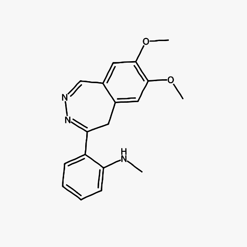 CNc1ccccc1C1=NN=Cc2cc(OC)c(OC)cc2C1